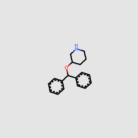 c1ccc(C(OC2CCCNC2)c2ccccc2)cc1